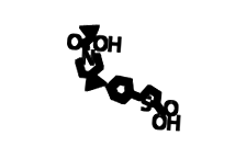 O=C(O)C1CCC(c2ccc([C@@H]3CC34CCN(C(=O)C3(O)CC3)CC4)cc2)S1